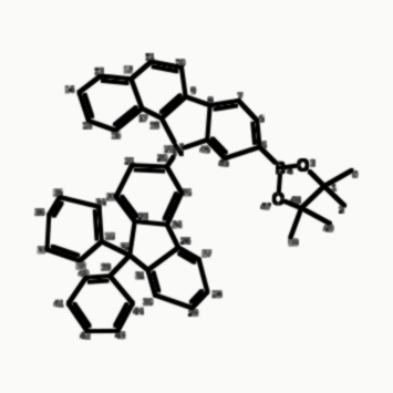 CC1(C)OB(c2ccc3c4ccc5ccccc5c4n(-c4ccc5c(c4)-c4ccccc4C5(c4ccccc4)c4ccccc4)c3c2)OC1(C)C